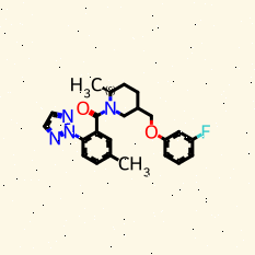 Cc1ccc(-n2nccn2)c(C(=O)N2CC(COc3cccc(F)c3)CC[C@@H]2C)c1